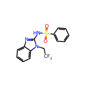 O=S(=O)(Nc1nc2ccccc2n1CC(F)(F)F)c1ccccc1